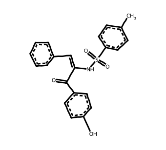 Cc1ccc(S(=O)(=O)NC(=Cc2ccccc2)C(=O)c2ccc(O)cc2)cc1